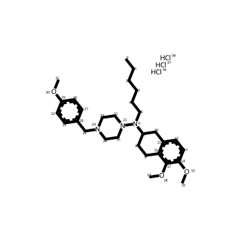 CCCCCCN(C1CCc2c(ccc(OC)c2OC)C1)N1CCN(Cc2ccc(OC)cc2)CC1.Cl.Cl.Cl